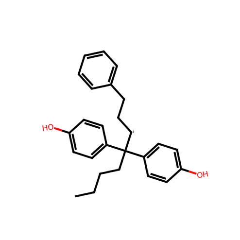 CCCCC([C]CCc1ccccc1)(c1ccc(O)cc1)c1ccc(O)cc1